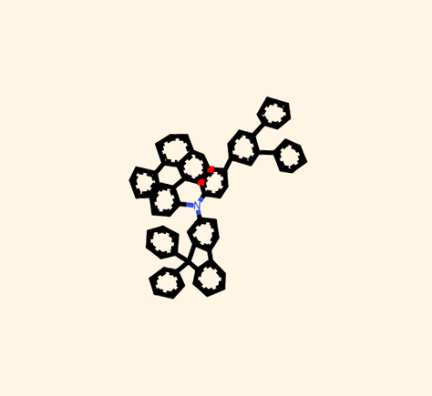 c1ccc(-c2ccc(-c3ccc(N(c4ccc5c(c4)C(c4ccccc4)(c4ccccc4)c4ccccc4-5)c4ccccc4-c4cccc5cccc(-c6ccccc6)c45)cc3)cc2-c2ccccc2)cc1